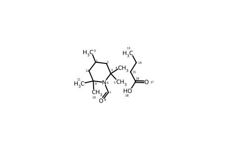 CC1CC(C)(C)N(C=O)C(C)(C)C1.CCCC(=O)O